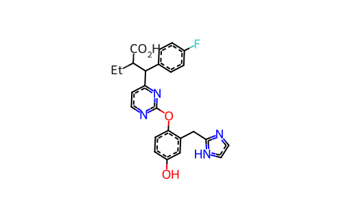 CCC(C(=O)O)C(c1ccc(F)cc1)c1ccnc(Oc2ccc(O)cc2Cc2ncc[nH]2)n1